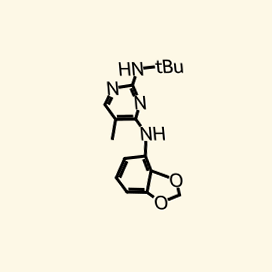 Cc1cnc(NC(C)(C)C)nc1Nc1cccc2c1OCO2